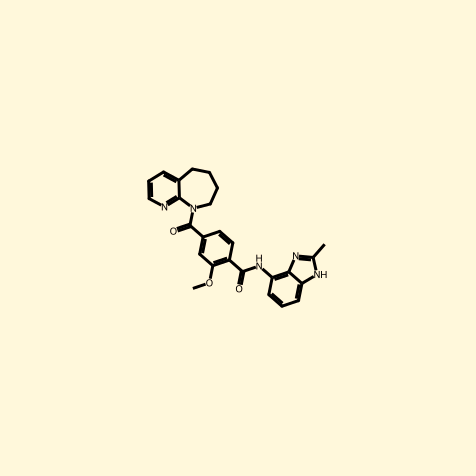 COc1cc(C(=O)N2CCCCc3cccnc32)ccc1C(=O)Nc1cccc2[nH]c(C)nc12